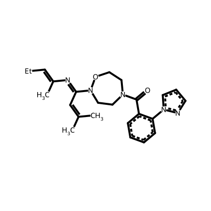 CC/C=C(C)/N=C(\C=C(C)C)N1CCN(C(=O)c2ccccc2-n2cccn2)CCO1